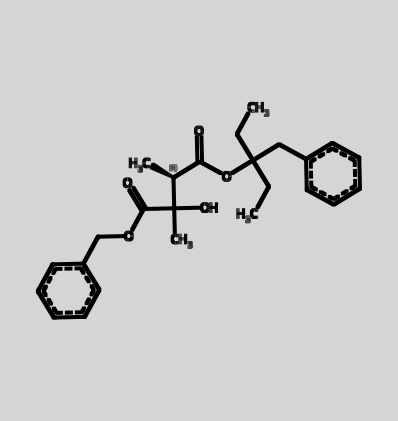 CCC(CC)(Cc1ccccc1)OC(=O)[C@H](C)C(C)(O)C(=O)OCc1ccccc1